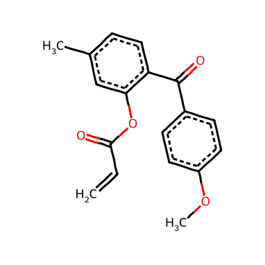 C=CC(=O)Oc1cc(C)ccc1C(=O)c1ccc(OC)cc1